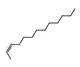 C/C=C\[P]CCCCCCCCC